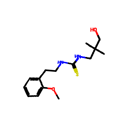 COc1ccccc1CCNC(=S)NCC(C)(C)CO